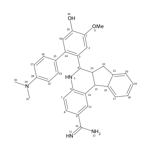 COc1cc(C2Nc3ccc(C(=N)N)cc3C3c4ccccc4CC23)c(-c2ccc(N(C)C)cc2)cc1O